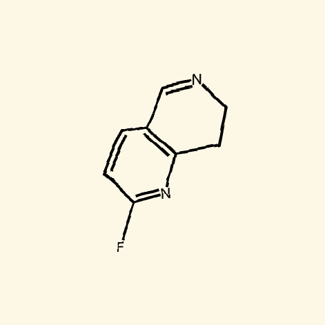 Fc1ccc2c(n1)CCN=C2